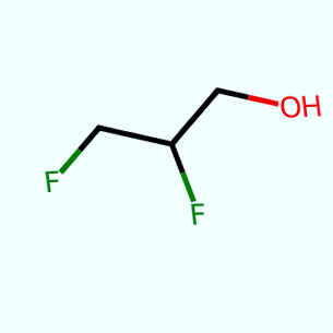 OCC(F)CF